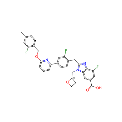 Cc1ccc(COc2cccc(-c3ccc(Cc4nc5c(F)cc(C(=O)O)cc5n4C[C@@H]4CCO4)c(F)c3)n2)c(F)c1